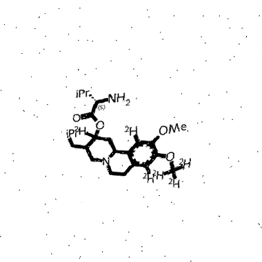 [2H]c1c2c(c([2H])c(OC)c1OC([2H])([2H])[2H])C1CC([2H])(OC(=O)[C@@H](N)C(C)C)C(CC(C)C)CN1CC2